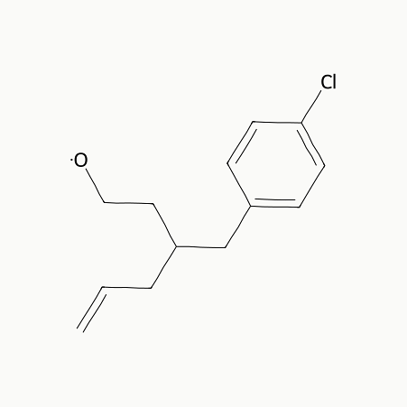 C=CCC(CC[O])Cc1ccc(Cl)cc1